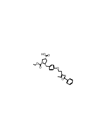 CCOC(=O)N1C[C@H](C(=O)O)C[C@H]1Cc1ccc(OCCc2nc(-c3ccccc3)oc2C)cc1